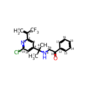 C=C(c1cc(C(C)(C)NCC(=O)c2ccccc2)cc(Cl)n1)C(F)(F)F